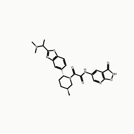 CC(c1nc2cc([C@H]3CC[C@H](C)CN3C(=O)C(=O)Nc3cnc4o[nH]c(=O)c4c3)ccc2s1)N(C)C